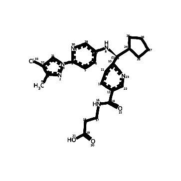 Cc1nn(-c2ccc(N[C@H](c3ccc(C(=O)NCCC(=O)O)cn3)C3CCCC3)cn2)cc1Cl